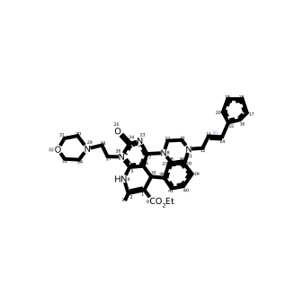 CCOC(=O)C1=C(C)Nc2c(c(N3CCN(C/C=C/c4ccccc4)CC3)nc(=O)n2CCN2CCOCC2)C1c1ccccc1